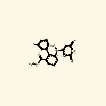 Cc1cccc(-c2c(C(=O)NN)cccc2N(C=O)c2cc(=O)[nH]c(=O)[nH]2)c1